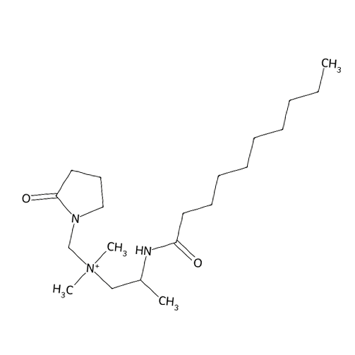 CCCCCCCCCC(=O)NC(C)C[N+](C)(C)CN1CCCC1=O